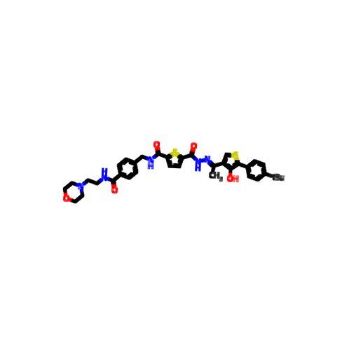 C/C(=N\NC(=O)c1ccc(C(=O)NCc2ccc(C(=O)NCCN3CCOCC3)cc2)s1)c1csc(-c2ccc(C(C)(C)C)cc2)c1O